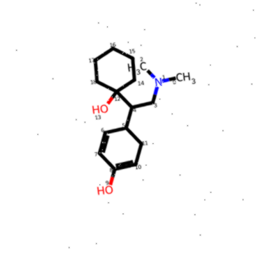 CN(C)CC(C1C=CC(O)=CC1)C1(O)CCCCC1